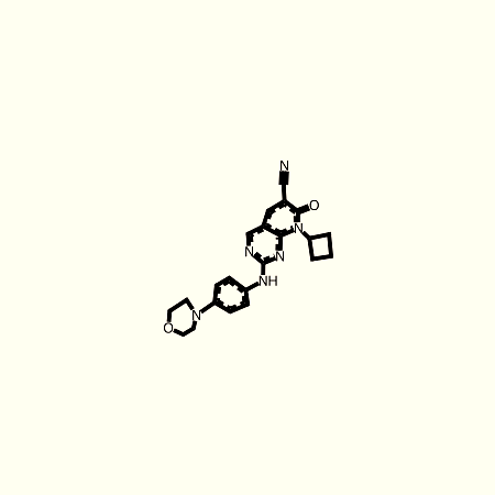 N#Cc1cc2cnc(Nc3ccc(N4CCOCC4)cc3)nc2n(C2CCC2)c1=O